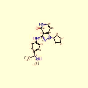 CCNC(c1ccc(Nc2nn(C3CCCC3)c3cc[nH]c(=O)c23)cc1)C(F)(F)F